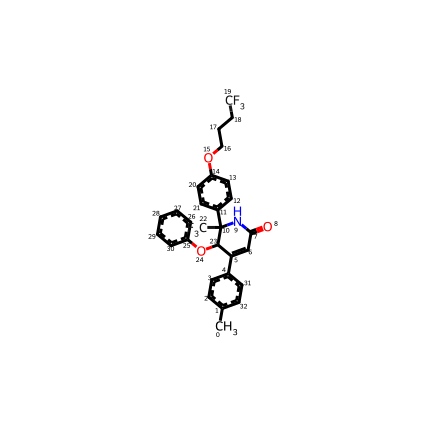 Cc1ccc(C2=CC(=O)NC(c3ccc(OCCCC(F)(F)F)cc3)(C(F)(F)F)C2Oc2ccccc2)cc1